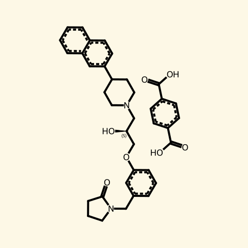 O=C(O)c1ccc(C(=O)O)cc1.O=C1CCCN1Cc1cccc(OC[C@@H](O)CN2CCC(c3ccc4ccccc4c3)CC2)c1